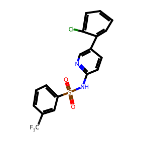 O=S(=O)(Nc1ccc(-c2ccccc2Cl)cn1)c1cccc(C(F)(F)F)c1